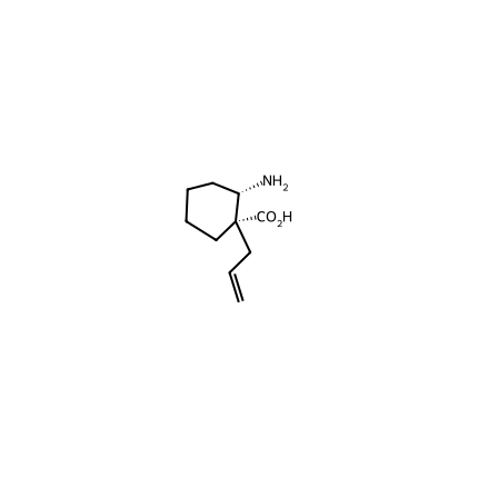 C=CC[C@@]1(C(=O)O)CCCC[C@@H]1N